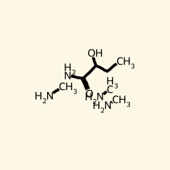 CCC(O)C(N)=O.CN.CN.CN